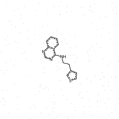 c1ccc2c(NCCc3ccsc3)ncnc2c1